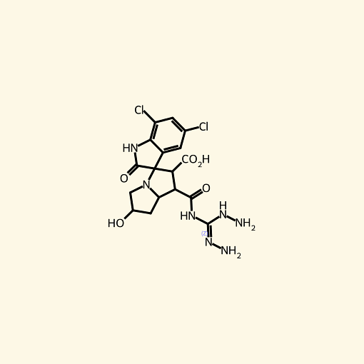 N/N=C(\NN)NC(=O)C1C2CC(O)CN2C2(C(=O)Nc3c(Cl)cc(Cl)cc32)C1C(=O)O